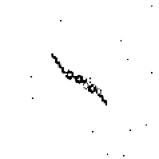 CCCCCCCCc1ccc(-c2ccc(C(=O)Oc3ccc(OCCCCC)cc3)cc2)cc1